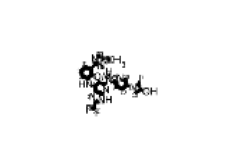 COc1c(Nc2cc(Nc3ccc(N4CC(O)C4I)cn3)nc3[nH]c(C(F)F)nc23)cccc1-c1nnn(C)n1